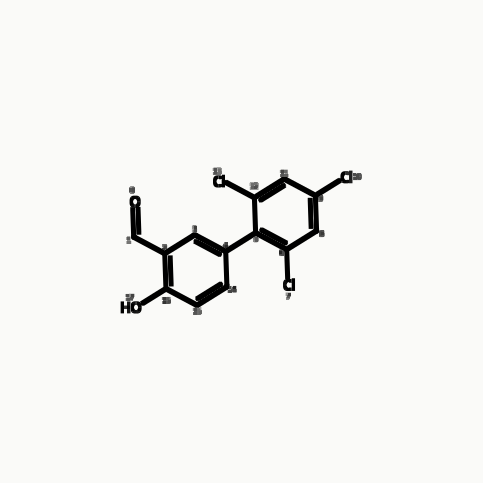 O=Cc1cc(-c2c(Cl)cc(Cl)cc2Cl)ccc1O